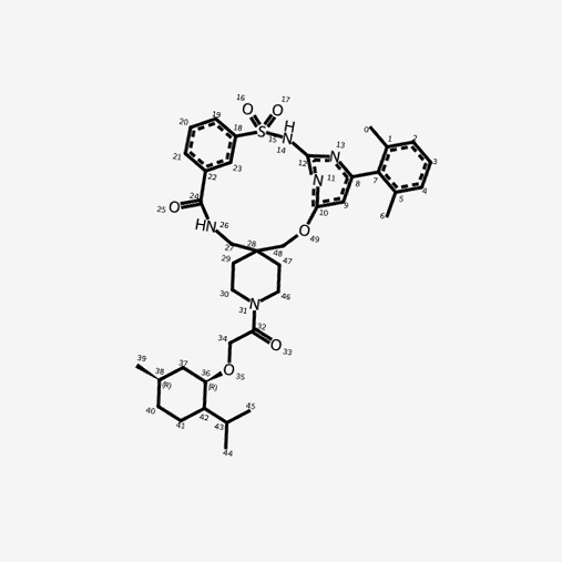 Cc1cccc(C)c1-c1cc2nc(n1)NS(=O)(=O)c1cccc(c1)C(=O)NCC1(CCN(C(=O)CO[C@@H]3C[C@H](C)CCC3C(C)C)CC1)CO2